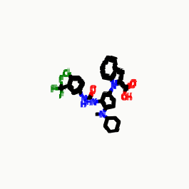 CN(c1ccc(-n2c(C(=O)O)cc3ccccc32)cc1NC(=O)Nc1ccc(Cl)c(C(F)(F)F)c1)C1CCCCC1